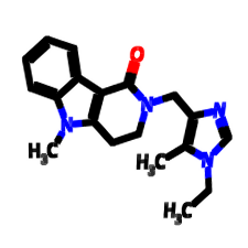 CCn1cnc(CN2CCc3c(c4ccccc4n3C)C2=O)c1C